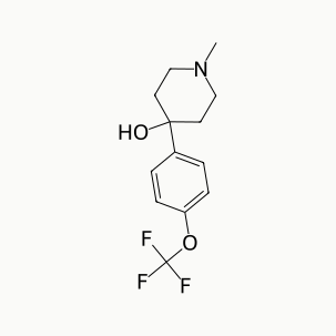 CN1CCC(O)(c2ccc(OC(F)(F)F)cc2)CC1